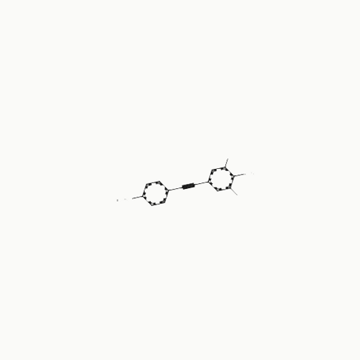 CCCCCCCCCCc1ccc(C#Cc2cc(F)c(C#N)c(F)c2)cc1